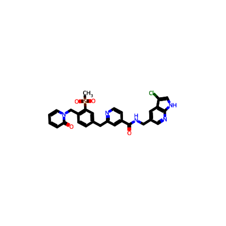 CS(=O)(=O)c1cc(Cc2cc(C(=O)NCc3cnc4[nH]cc(Cl)c4c3)ccn2)ccc1Cn1ccccc1=O